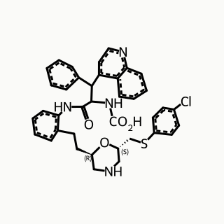 O=C(O)NC(C(=O)Nc1ccccc1CC[C@@H]1CNC[C@@H](CSc2ccc(Cl)cc2)O1)C(c1ccccc1)c1ccnc2ccccc12